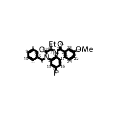 CC[C@@H]1C(=O)N(Cc2ccccc2)c2cc(F)ccc2N1C(=O)c1cccc(OC)c1